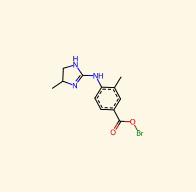 Cc1cc(C(=O)OBr)ccc1NC1=NC(C)CN1